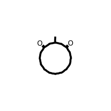 CC1CC(=O)CCCCCCCCCCCC(=O)C1